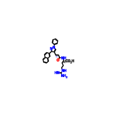 N=C(N)NCCC[C@H](NC(=O)/C=C/c1cn(-c2ccccc2)nc1-c1ccc2ccccc2c1)C(=O)O